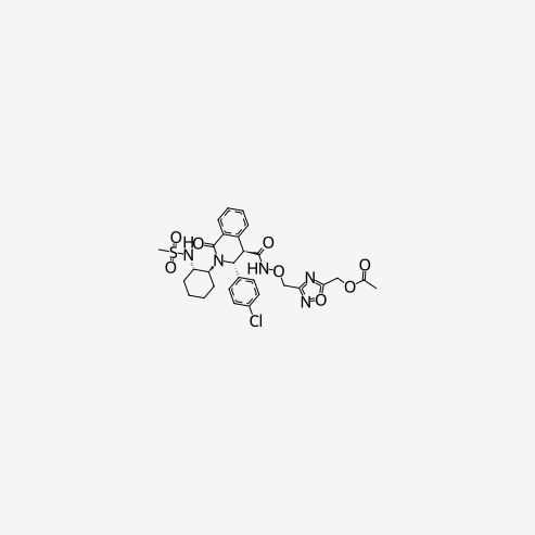 CC(=O)OCc1nc(CONC(=O)[C@@H]2c3ccccc3C(=O)N([C@H]3CCCC[C@@H]3NS(C)(=O)=O)[C@H]2c2ccc(Cl)cc2)no1